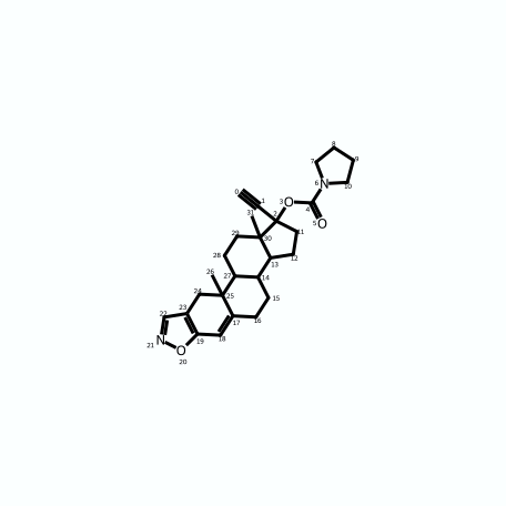 C#CC1(OC(=O)N2CCCC2)CCC2C3CCC4=Cc5oncc5CC4(C)C3CCC21C